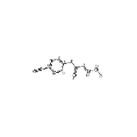 C#Cc1ccc(CC(=O)C=NOC)cc1